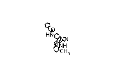 Cc1cccc(Cl)c1Nc1nc2cc(NC(=O)Cc3ccccc3)ccc2n2cncc12